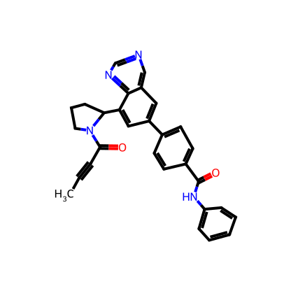 CC#CC(=O)N1CCCC1c1cc(-c2ccc(C(=O)Nc3ccccc3)cc2)cc2cncnc12